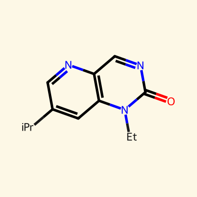 CCn1c(=O)ncc2ncc(C(C)C)cc21